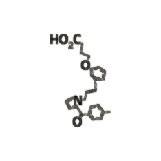 Cc1ccc(C(=O)c2cccn2CC=Cc2cccc(OCCCC(=O)O)c2)cc1